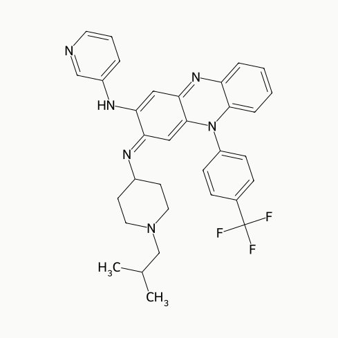 CC(C)CN1CCC(/N=c2\cc3n(-c4ccc(C(F)(F)F)cc4)c4ccccc4nc-3cc2Nc2cccnc2)CC1